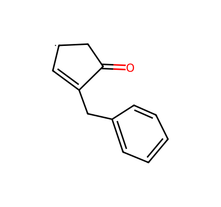 O=C1C[CH]C=C1Cc1ccccc1